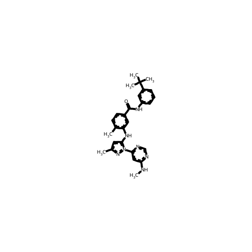 CNc1cc(-n2nc(C)cc2Nc2cc(C(=O)Nc3cccc(C(C)(C)C)c3)ccc2C)ncn1